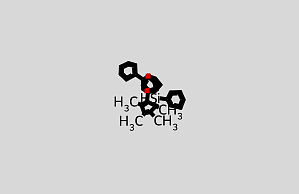 CC1=C(C)C(C)([SiH](c2ccccc2)c2ccccc2)C(c2cccc(-c3ccccc3)c2)=C1C